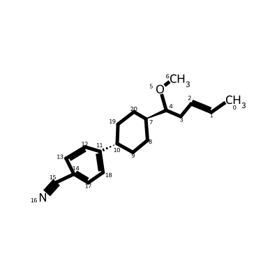 CC=CCC(OC)[C@H]1CC[C@H](c2ccc(C#N)cc2)CC1